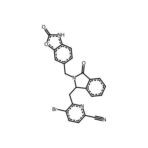 N#Cc1ccc(Br)c(CC2c3ccccc3C(=O)N2Cc2ccc3[nH]c(=O)oc3c2)n1